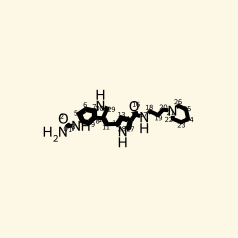 NC(=O)Nc1ccc2c(c1)C(=Cc1cc(C(=O)NCCCN3CCCCC3)c[nH]1)CN2